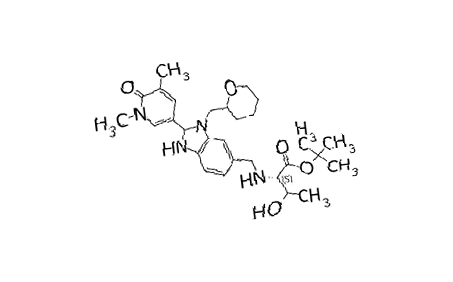 Cc1cc(C2Nc3ccc(CN[C@H](C(=O)OC(C)(C)C)C(C)O)cc3N2CC2CCCCO2)cn(C)c1=O